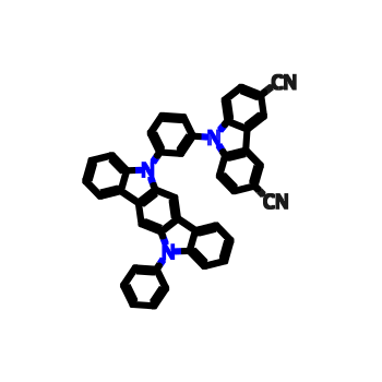 N#Cc1ccc2c(c1)c1cc(C#N)ccc1n2-c1cccc(-n2c3ccccc3c3cc4c(cc32)c2ccccc2n4-c2ccccc2)c1